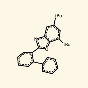 CC(C)(C)c1cc(C(C)(C)C)c2oc(-c3ccccc3-c3ccccc3)nc2c1